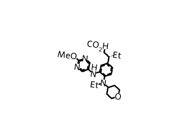 CC[C@@H](CC(=O)O)c1ccc(N(CC)C2CCOCC2)c(Nc2cnc(OC)nc2)c1